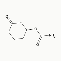 NC(=O)OC1CCCC(=O)C1